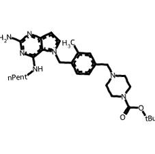 CCCCCNc1nc(N)nc2ccn(Cc3ccc(CN4CCN(C(=O)OC(C)(C)C)CC4)cc3C)c12